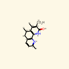 Cc1ccc2c(n1)-c1[nH]c(=O)c(C(=O)O)c(C)c1C(C)C2